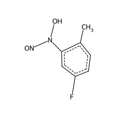 Cc1ccc(F)cc1N(O)N=O